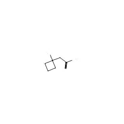 COC(=O)CC1(C#N)CCC1